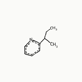 CCC(C)c1ccccn1